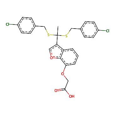 CC(SCc1ccc(Cl)cc1)(SCc1ccc(Cl)cc1)c1coc2c(OCC(=O)O)cccc12